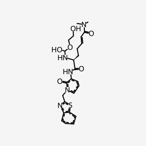 CN(C)C(=O)/C=C/CC[C@H](NC(O)OCCO)C(=O)Nc1cccn(Cc2nc3ccccc3s2)c1=O